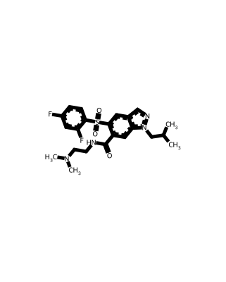 CC(C)Cn1ncc2cc(S(=O)(=O)c3ccc(F)cc3F)c(C(=O)NCCN(C)C)cc21